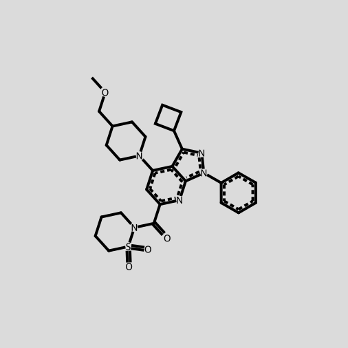 COCC1CCN(c2cc(C(=O)N3CCCCS3(=O)=O)nc3c2c(C2CCC2)nn3-c2ccccc2)CC1